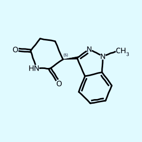 Cn1nc([C@@H]2CCC(=O)NC2=O)c2ccccc21